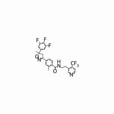 Cc1cc(C2=NOC(C)(c3cc(F)c(F)c(F)c3)C2)ccc1C(=O)NCCc1cnccc1C(F)(F)F